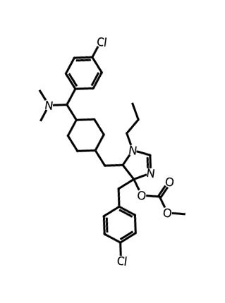 CCCN1C=NC(Cc2ccc(Cl)cc2)(OC(=O)OC)C1CC1CCC(C(c2ccc(Cl)cc2)N(C)C)CC1